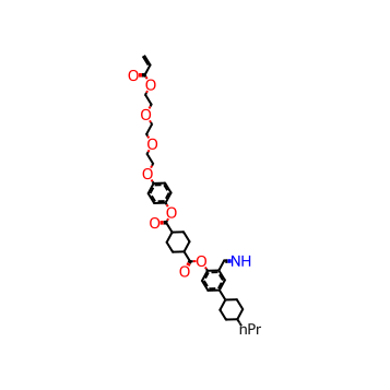 C=CC(=O)OCCOCCOCCOc1ccc(OC(=O)C2CCC(C(=O)Oc3ccc(C4CCC(CCC)CC4)cc3C=N)CC2)cc1